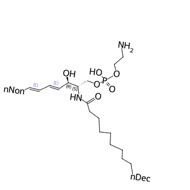 CCCCCCCCC/C=C/C=C/[C@@H](O)[C@H](COP(=O)(O)OCCN)NC(=O)CCCCCCCCCCCCCCCCCC